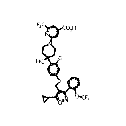 O=C(O)c1cc(N2CCC(O)(c3ccc(OCc4c(-c5ccccc5OC(F)(F)F)noc4C4CC4)cc3Cl)CC2)nc(C(F)(F)F)c1